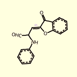 O=CC(/C=C1\Oc2ccccc2C1=O)Nc1ccccc1